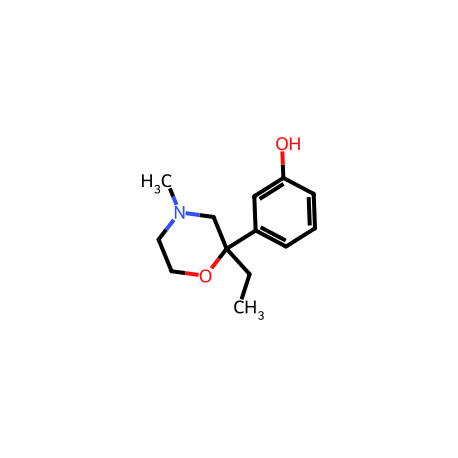 CCC1(c2cccc(O)c2)CN(C)CCO1